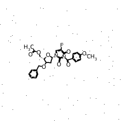 COc1ccc(C(=O)n2c(=O)c(F)cn([C@@H]3CC(OCc4ccccc4)[C@H](COC(C)=O)O3)c2=O)cc1